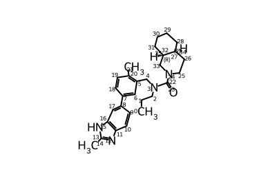 CCCN(Cc1cc(-c2ccc3nc(C)[nH]c3c2)ccc1C)C(=O)N1CC[C@@H]2CCCC[C@H]2C1